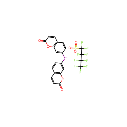 O=S(=O)([O-])C(F)(F)C(F)(F)C(F)(F)C(F)(F)F.O=c1ccc2ccc([I+]c3ccc4ccc(=O)oc4c3)cc2o1